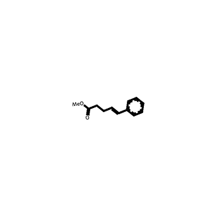 COC(=O)CC/C=C/c1ccccc1